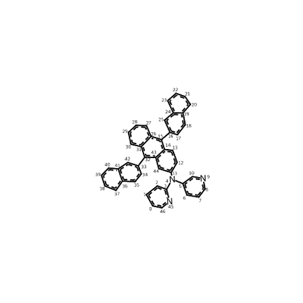 c1ccc(N(c2cccnc2)c2ccc3c(-c4ccc5ccccc5c4)c4ccccc4c(-c4ccc5ccccc5c4)c3c2)nc1